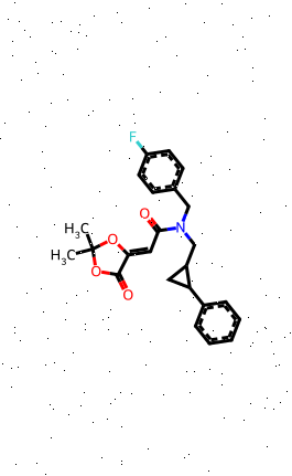 CC1(C)OC(=O)C(=CC(=O)N(Cc2ccc(F)cc2)CC2CC2c2ccccc2)O1